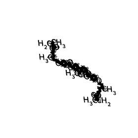 C=C(C)C(=O)OCCCC(C)CCOc1ccc(C(=O)Oc2ccc3c(c2)C(C)(C)c2cc(OC(=O)c4ccc(OCCC(C)CCCOC(=O)C(=C)C)cc4)ccc2-3)cc1